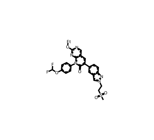 CCOc1ncc2cc(-c3ccc4nn(CCS(C)(=O)=O)cc4c3)c(=O)n(-c3ccc(OC(F)F)cc3)c2n1